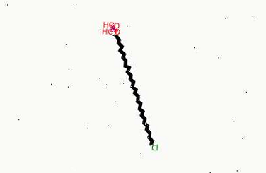 O=P(O)(O)OCCCCCCCCCCCCCCCCCCCCCCCCCCCCCCCCl